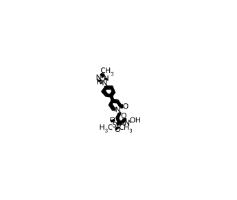 Cc1nnn(-c2ccc(-c3ccn(CC[C@](C)(C(=O)NO)S(C)(=O)=O)c(=O)c3)cc2)n1